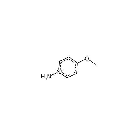 COc1cc[n+](N)cc1